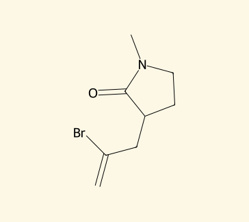 C=C(Br)CC1CCN(C)C1=O